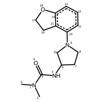 CN(C)C(=O)NC1CCN(c2cccc3c2CCO3)C1